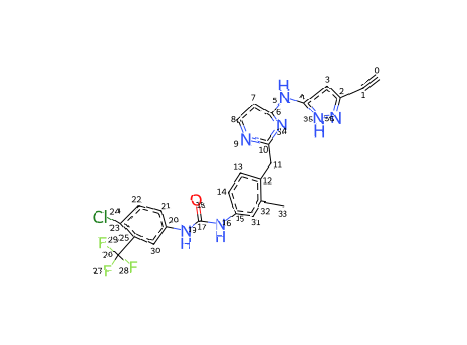 C#Cc1cc(Nc2ccnc(Cc3ccc(NC(=O)Nc4ccc(Cl)c(C(F)(F)F)c4)cc3C)n2)[nH]n1